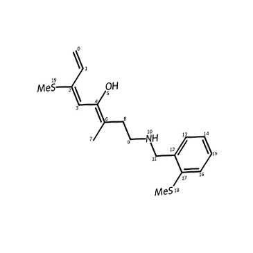 C=C/C(=C\C(O)=C(/C)CCNCc1ccccc1SC)SC